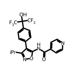 CC(C)c1noc(NC(=O)c2ccncc2)c1-c1ccc(C(O)(C(F)(F)F)C(F)(F)F)cc1